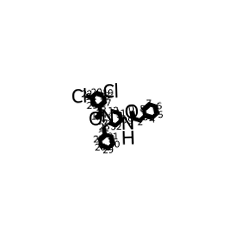 O=C(Cc1ccccc1)N[C@H]1CCN(C(=O)c2cc(Cl)cc(Cl)c2)[C@H](Cc2ccccc2)C1